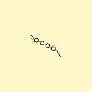 CCCCC[C@H]1CC[C@H](C2CCC([C@H]3CC[C@H](c4ccc(OCC)c(F)c4F)CC3)CC2)OC1